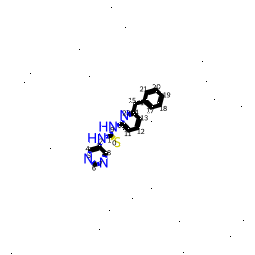 S=C(Nc1cncnc1)Nc1cccc(Cc2ccccc2)n1